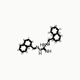 N=C(N/N=C/c1cccc2ccccc12)N/N=C/c1cccc2ccccc12